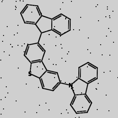 c1ccc2c(c1)-c1ccccc1C2c1ccc2sc3ccc(-n4c5ccccc5c5ccccc54)cc3c2c1